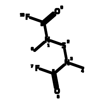 CN(SN(C)C(=O)F)C(=O)F